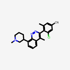 Cc1cc(C#N)cc(Cl)c1-c1nnc2c(C3CCCN(C)C3)cccc2c1C